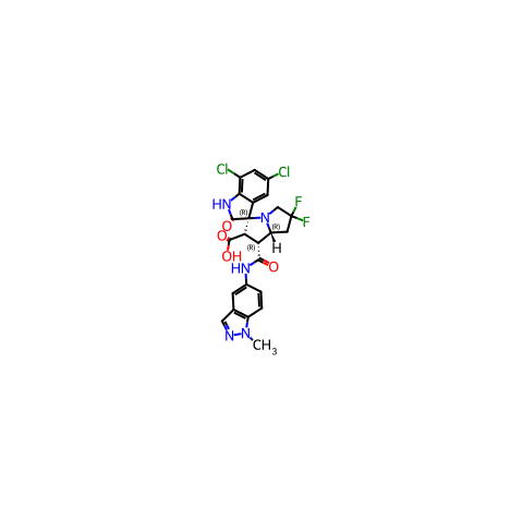 Cn1ncc2cc(NC(=O)[C@@H]3C(C(=O)O)[C@@]4(C(=O)Nc5c(Cl)cc(Cl)cc54)N4CC(F)(F)C[C@H]34)ccc21